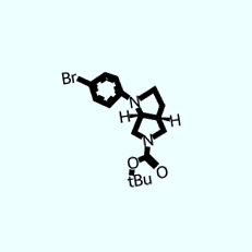 CC(C)(C)OC(=O)N1C[C@H]2CCN(c3ccc(Br)cc3)[C@H]2C1